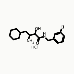 Cl.NC(CC1CCCCC1)C(O)C(=O)NCc1cccc(Cl)c1